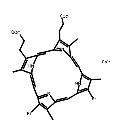 CCC1=C(C)c2cc3[nH]c(cc4nc(cc5[nH]c(cc1n2)c(C)c5CCC(=O)[O-])C(CCC(=O)[O-])=C4C)c(C)c3CC.[Co+2]